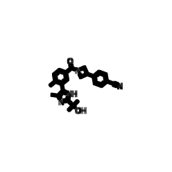 Cc1ccc(C(=O)N2CC(c3ccc(C#N)cc3)C2)cc1-c1[nH]c(C(C)(C)O)nc1C